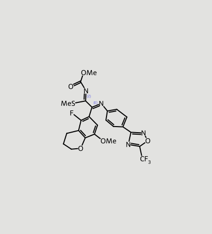 COC(=O)/N=C(SC)/C(=N/c1ccc(-c2noc(C(F)(F)F)n2)cc1)c1cc(OC)c2c(c1F)CCCO2